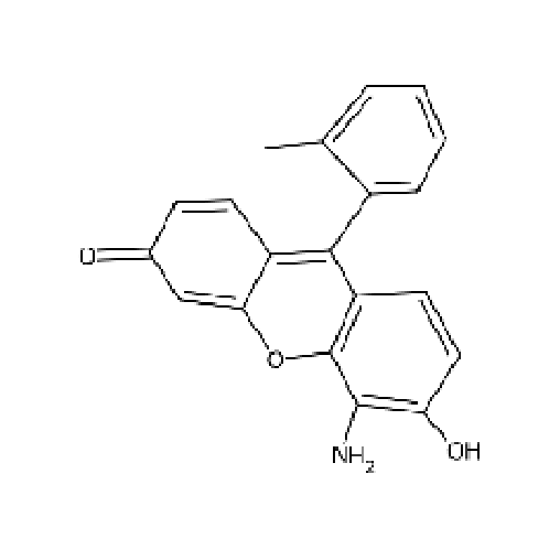 Cc1ccccc1-c1c2ccc(=O)cc-2oc2c(N)c(O)ccc12